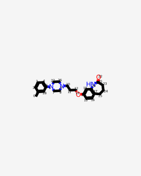 Cc1cccc(N2CCN(CCCOc3ccc4c(c3)NC(=O)CCC4)CC2)c1